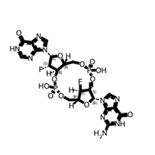 Nc1nc2c(ncn2[C@@H]2O[C@@H]3COP(=O)(O)O[C@H]4[C@H](F)[C@H](n5cnc6c(=O)[nH]cnc65)O[C@@H]4COP(=O)(O)O[C@@H]2[C@@H]3F)c(=O)[nH]1